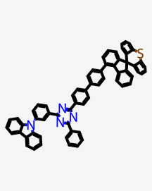 c1ccc(-c2nc(-c3ccc(-c4ccc(-c5cccc6c5-c5ccccc5C65c6ccccc6Sc6ccccc65)cc4)cc3)nc(-c3cccc(-n4c5ccccc5c5ccccc54)c3)n2)cc1